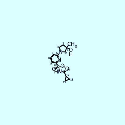 CC1(O)CCN(c2cccc(S(=O)(=O)NC(=O)C3CC3)n2)C1